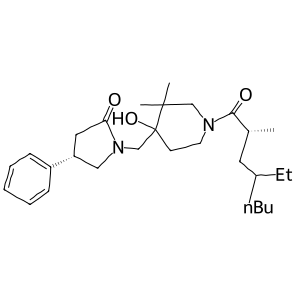 CCCCC(CC)C[C@@H](C)C(=O)N1CCC(O)(CN2C[C@H](c3ccccc3)CC2=O)C(C)(C)C1